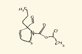 CCCC1(C=O)C=CSN1C(=O)OC(C)Cl